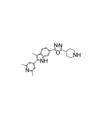 Cc1cc(-c2[nH]c3cc(-c4nnc(C5CCNCC5)o4)ccc3c2C)cc(C)n1